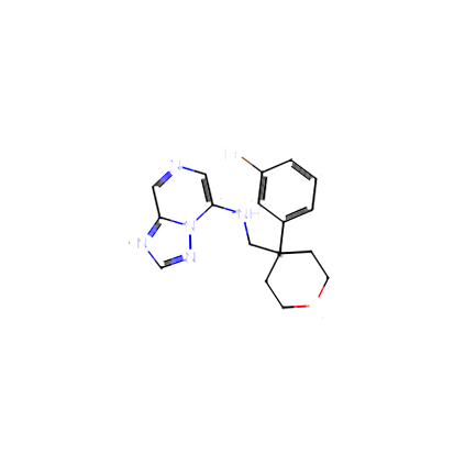 Brc1cccc(C2(CNc3cncc4ncnn34)CCOCC2)c1